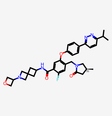 CC(C)c1ccc(-c2ccc(Oc3cc(C(=O)NC4CC5(C4)CN(C4COC4)C5)c(F)cc3CN3C[C@@H](C)CC3=O)cc2)nn1